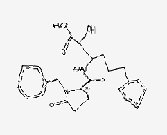 O=C(O)C(O)C(CCCc1ccccc1)NC(=O)[C@H]1CCC(=O)N1Cc1ccccc1